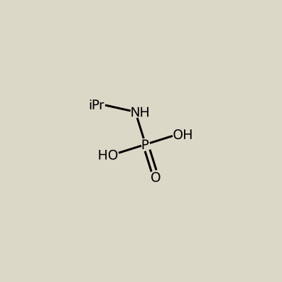 CC(C)NP(=O)(O)O